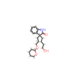 O=C1Nc2ccccc2C1(CCCCO)CCCOC1CCCCO1